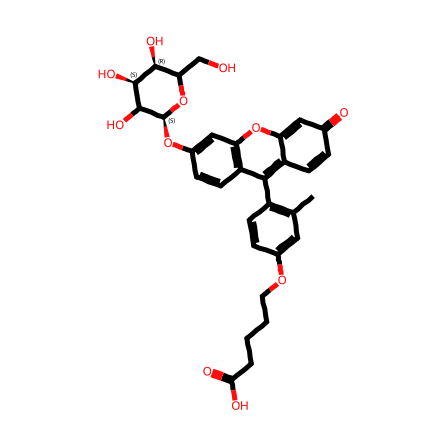 Cc1cc(OCCCCC(=O)O)ccc1-c1c2ccc(=O)cc-2oc2cc(O[C@@H]3OC(CO)[C@H](O)[C@H](O)C3O)ccc12